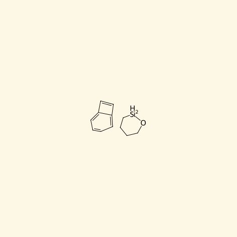 C1=Cc2ccccc21.C1CC[SiH2]OC1